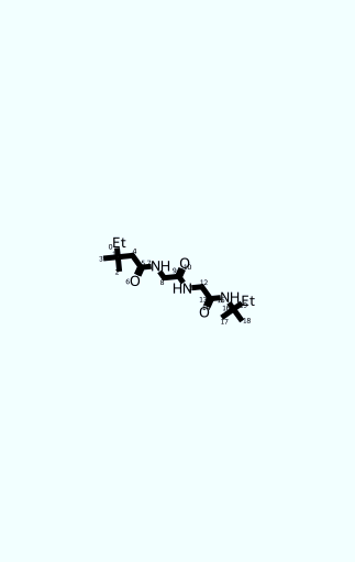 CCC(C)(C)CC(=O)NCC(=O)NCC(=O)NC(C)(C)CC